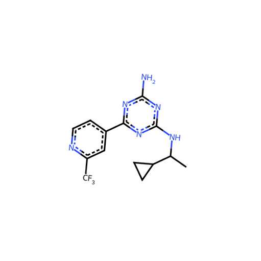 CC(Nc1nc(N)nc(-c2ccnc(C(F)(F)F)c2)n1)C1CC1